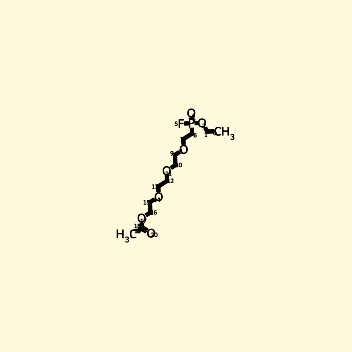 CCOP(=O)(F)CCOCCOCCOCCOC(C)=O